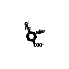 O=C([O-])c1cc[c]([Hg][O-])cc1.[Na+].[Na+]